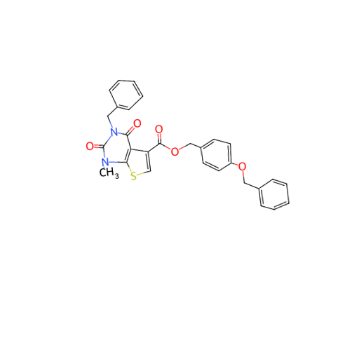 Cn1c(=O)n(Cc2ccccc2)c(=O)c2c(C(=O)OCc3ccc(OCc4ccccc4)cc3)csc21